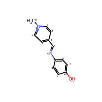 C[n+]1ccc(C=Nc2ccc(O)cc2)cc1